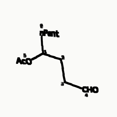 CCCCCC(CCC=O)OC(C)=O